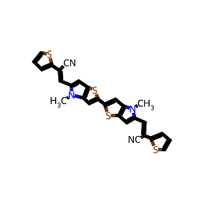 Cn1c(/C=C(\C#N)c2cccs2)cc2sc(-c3cc4c(cc(/C=C(\C#N)c5cccs5)n4C)s3)cc21